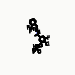 COC(=O)NOc1cc(/C(C)=N/OCc2ccccc2C(F)(F)F)cc(F)c1Cl